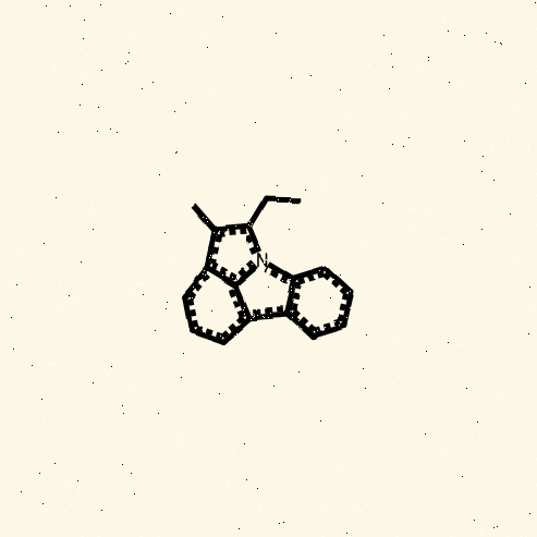 CCc1c(C)c2cccc3c4ccccc4n1c23